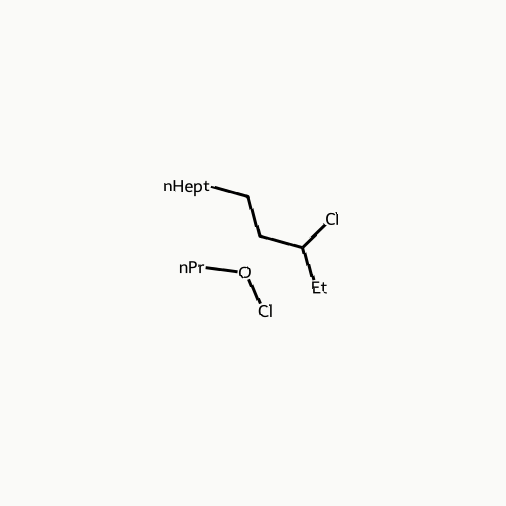 CCCCCCCCCC(Cl)CC.CCCOCl